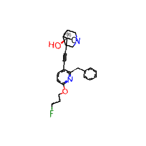 O[C@]1(C#Cc2ccc(OCCCF)nc2Cc2ccccc2)CN2CCC1CC2